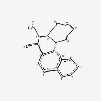 CN(C(=O)c1ccc2ccccc2n1)C1CCCCC1